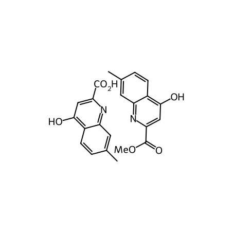 COC(=O)c1cc(O)c2ccc(C)cc2n1.Cc1ccc2c(O)cc(C(=O)O)nc2c1